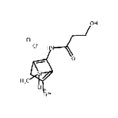 C[Si]1(C)C2=C(NC(=O)CCO)C1=[C]([Ti+2])C2.[Cl-].[Cl-]